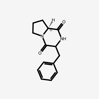 O=C1NC(Cc2ccccc2)C(=O)N2CCC[C@@H]12